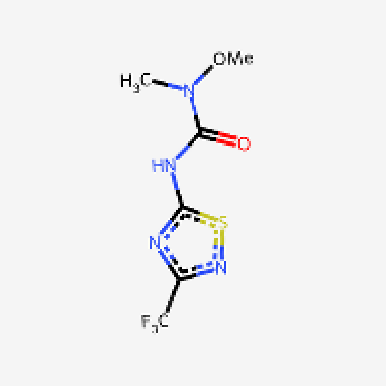 CON(C)C(=O)Nc1nc(C(F)(F)F)ns1